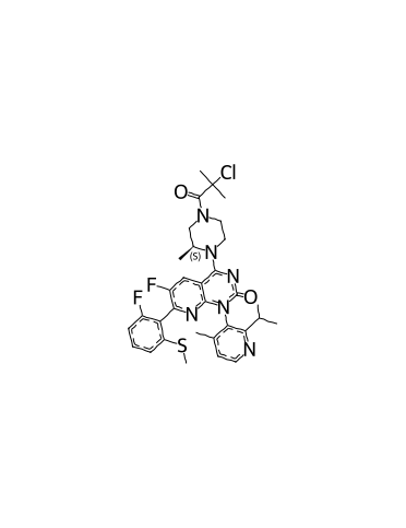 CSc1cccc(F)c1-c1nc2c(cc1F)c(N1CCN(C(=O)C(C)(C)Cl)C[C@@H]1C)nc(=O)n2-c1c(C)ccnc1C(C)C